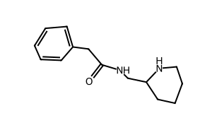 O=C(Cc1ccccc1)NCC1CCCCN1